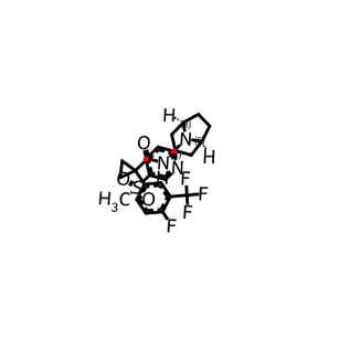 CS(=O)(=O)c1ccc(N2[C@@H]3CC[C@H]2C[C@@H](NC(=O)C2(c4ccc(F)c(C(F)(F)F)c4)CC2)C3)nc1